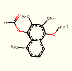 CCCCCOc1c(OC)c(OC)c(OC(=O)CC)c2c(OC)cccc12